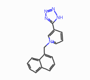 c1ccc2c(C[n+]3cccc(-c4nnn[nH]4)c3)cccc2c1